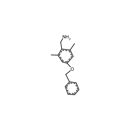 Cc1cc(OCc2ccccc2)cc(C)c1CN